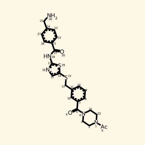 CC(=O)N1CCN(C(=O)c2cccc(CSc3cnc(NC(=O)c4ccc(CN)cc4)s3)c2)CC1